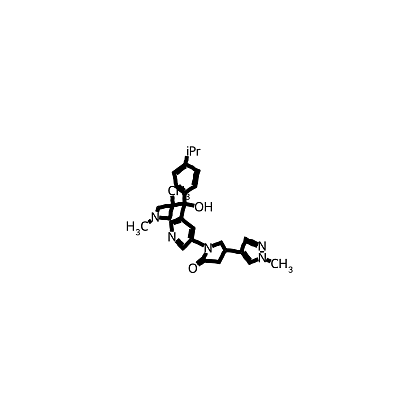 CC(C)c1ccc(C(O)(c2cncc(N3CC(c4cnn(C)c4)CC3=O)c2)C2(C)CN(C)C2)cc1